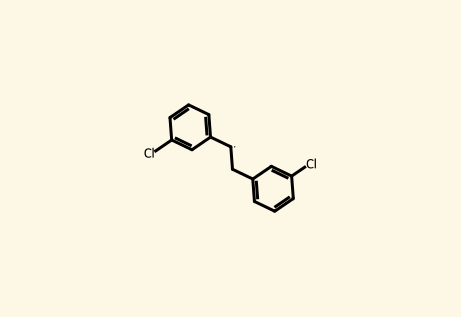 Clc1cccc([CH]Cc2cccc(Cl)c2)c1